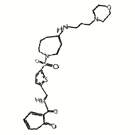 O=C1CC=CC=C1C(=O)NCc1ccc(S(=O)(=O)N2CCCC(NCCCN3CCOCC3)CC2)s1